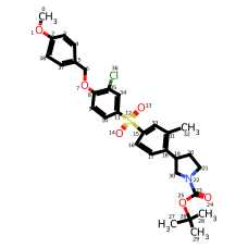 COc1ccc(COc2ccc(S(=O)(=O)c3ccc(C4CCN(C(=O)OC(C)(C)C)C4)c(C)c3)cc2Cl)cc1